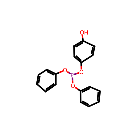 Oc1ccc(OP(Oc2ccccc2)Oc2ccccc2)cc1